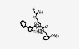 COc1ccccc1CNC(=O)[C@H](CCCNC(=N)CF)NC(=O)c1cc(-c2ccccc2)ccc1OC